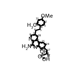 COc1ccc(CCc2cnc3c(N)nc4cc(C=C(F)P(=O)(O)O)ccc4c3c2)c(C)c1